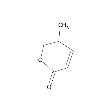 CC1C=CC(=O)OC1